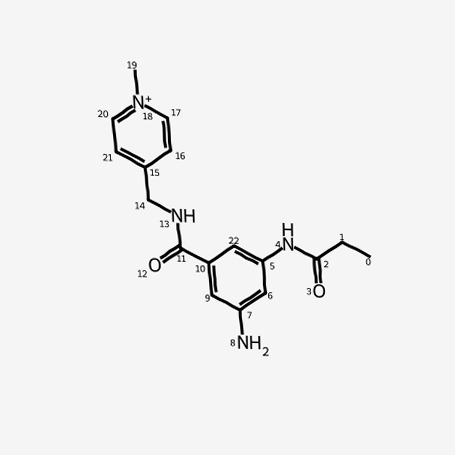 CCC(=O)Nc1cc(N)cc(C(=O)NCc2cc[n+](C)cc2)c1